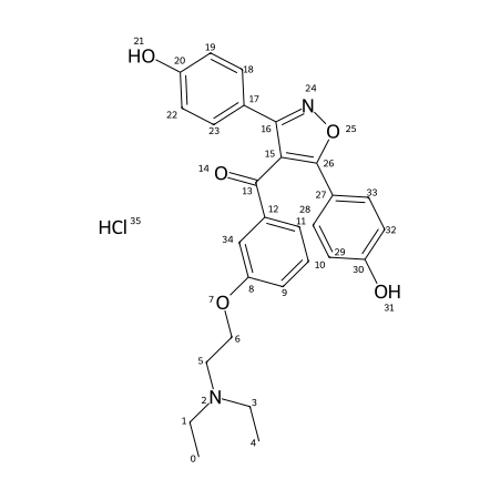 CCN(CC)CCOc1cccc(C(=O)c2c(-c3ccc(O)cc3)noc2-c2ccc(O)cc2)c1.Cl